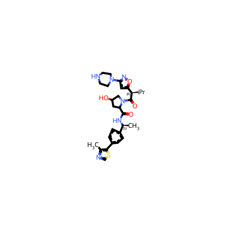 Cc1ncsc1-c1ccc([C@H](C)NC(=O)C2CC(O)CN2C(=O)[C@@H](c2cc(N3CCNCC3)no2)C(C)C)cc1